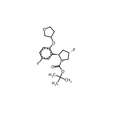 CC(C)(C)OC(=O)N1C[C@@H](F)C[C@@H]1c1cc(F)ccc1OC1CCOC1